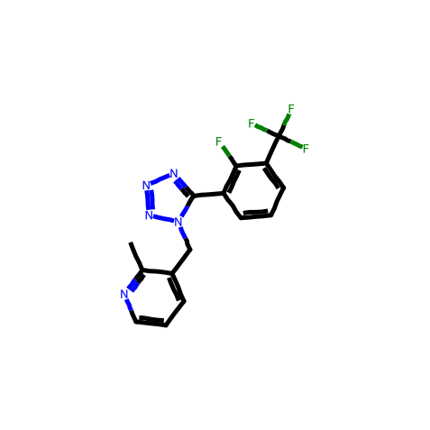 Cc1ncccc1Cn1nnnc1-c1cccc(C(F)(F)F)c1F